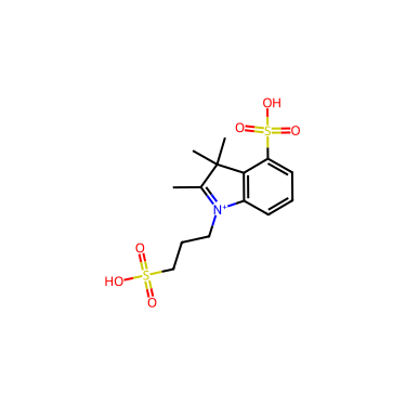 CC1=[N+](CCCS(=O)(=O)O)c2cccc(S(=O)(=O)O)c2C1(C)C